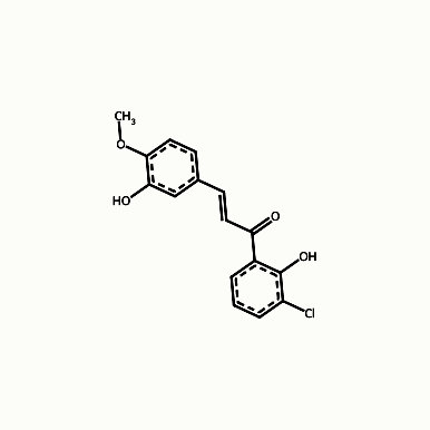 COc1ccc(/C=C/C(=O)c2cccc(Cl)c2O)cc1O